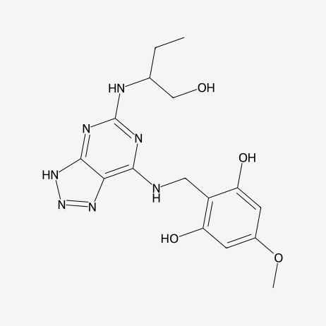 CCC(CO)Nc1nc(NCc2c(O)cc(OC)cc2O)c2nn[nH]c2n1